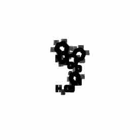 COc1ccc(OC(=O)N2CCCCC2c2ncnc3ccccc23)cn1